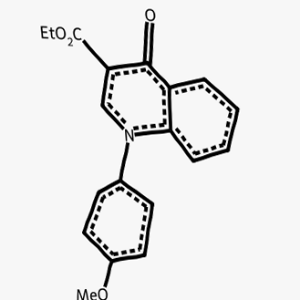 CCOC(=O)c1cn(-c2ccc(OC)cc2)c2ccccc2c1=O